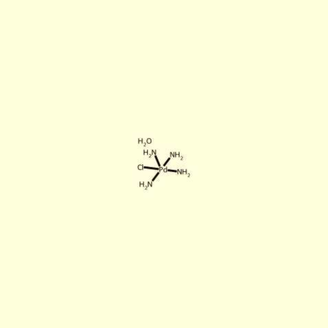 O.[NH2][Pd]([NH2])([NH2])([NH2])[Cl]